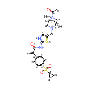 C=C(C(=O)Nc1ncc(CN2C[C@@H]3C[C@H]2CN3C(C)=O)s1)c1ccc(S(=O)(=O)C2CC2)cc1